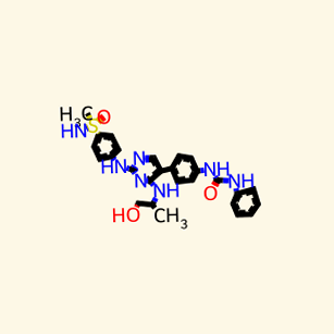 CC(CO)Nc1nc(Nc2ccc(S(C)(=N)=O)cc2)ncc1-c1ccc(NC(=O)Nc2ccccc2)cc1